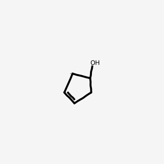 OC1[CH]C=CC1